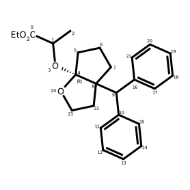 CCOC(=O)C(C)O[C@]12CCCC1(C(c1ccccc1)c1ccccc1)CCO2